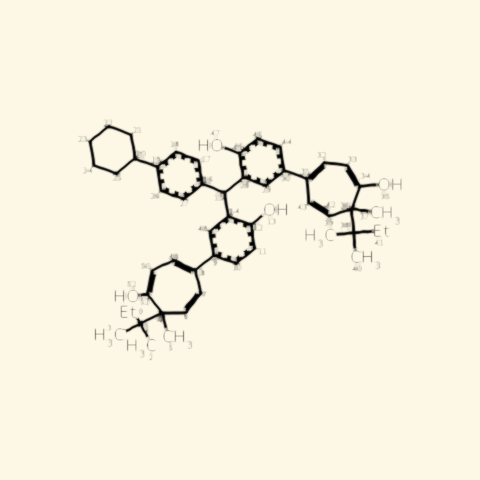 CCC(C)(C)C1(C)C=CC(c2ccc(O)c(C(c3ccc(C4CCCCC4)cc3)c3cc(C4=CC=C(O)C(C)(C(C)(C)CC)C=C4)ccc3O)c2)=CC=C1O